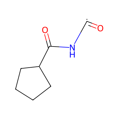 O=[C]NC(=O)C1CCCC1